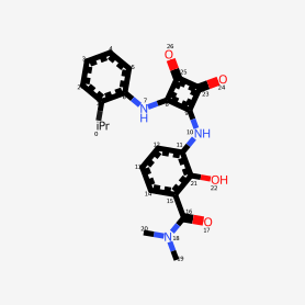 CC(C)c1ccccc1Nc1c(Nc2cccc(C(=O)N(C)C)c2O)c(=O)c1=O